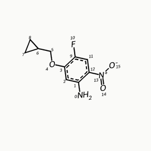 Nc1cc(OCC2CC2)c(F)cc1[N+](=O)[O-]